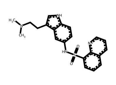 CN(C)CCc1c[nH]c2ccc(NS(=O)(=O)c3cccc4cccnc34)cc12